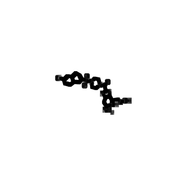 NC1Cc2nc(C(=O)N3CCN(S(=O)(=O)c4ccc5cc(Cl)ccc5c4)CC3)sc2C(C=NO)N1